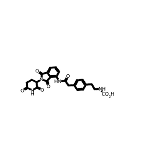 O=C(O)NCCc1ccc(CC(=O)Nc2cccc3c2C(=O)N(C2CCC(=O)NC2=O)C3=O)cc1